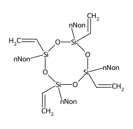 C=C[Si]1(CCCCCCCCC)O[Si](C=C)(CCCCCCCCC)O[Si](C=C)(CCCCCCCCC)O[Si](C=C)(CCCCCCCCC)O1